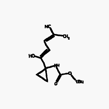 C/C(C#N)=C\C=C(/O)C1(NC(=O)OC(C)(C)C)CC1